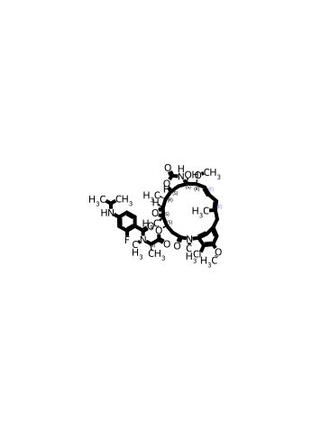 COc1cc2cc(c1Cl)N(C)C(=O)C[C@H](OC(=O)[C@H](C)N(C)C(=O)c1ccc(NC(C)C)cc1F)[C@]1(C)O[C@H]1[C@H](C)[C@@H]1C[C@@](O)(NC(=O)O1)[C@H](OC)/C=C/C=C(\C)C2